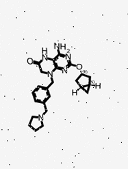 Nc1nc(O[C@@H]2C[C@@H]3C[C@@H]3C2)nc2c1NC(=O)CN2Cc1cccc(CN2CCCC2)c1